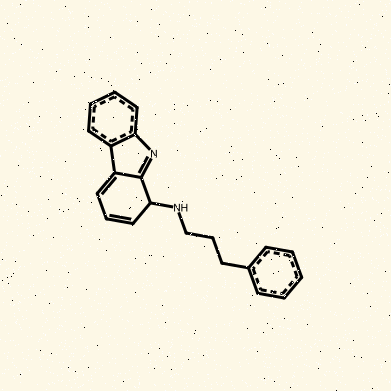 C1=CC(NCCCc2ccccc2)C2=Nc3ccccc3C2=C1